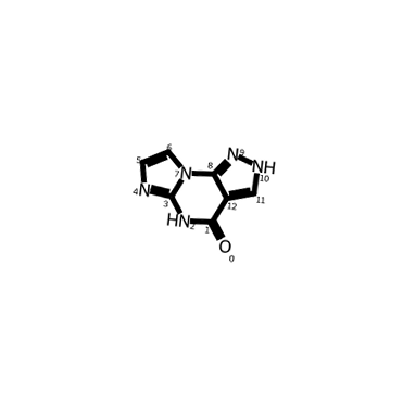 O=c1[nH]c2nccn2c2n[nH]cc12